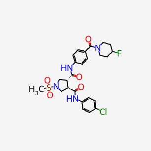 CS(=O)(=O)N1C[C@H](C(=O)Nc2ccc(Cl)cc2)[C@@H](C(=O)Nc2ccc(C(=O)N3CCC(F)CC3)cc2)C1